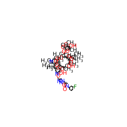 CO[C@@H]1[C@H](O)[C@@H](C)O[C@@H](OCC(C)[C@H]2OC(=O)[C@H](C)[C@@H](O[C@H]3C[C@@H](C)N(C)C[C@H](C)O3)[C@H](C)[C@@H](O[C@@H]3O[C@H](C)C/C(=N/OCc4cn(C[C@H]5CN(c6cccc(F)c6)C(=O)O5)nn4)[C@H]3O)[C@@H](C)C[C@](C)(O)C(=O)[C@H](C)[C@H](OC(=O)CC(C)C)[C@H]2C)[C@@H]1OC